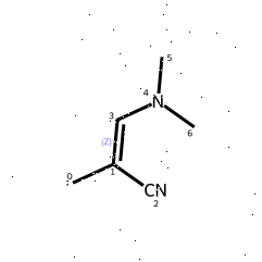 [CH]/C(C#N)=C/N(C)C